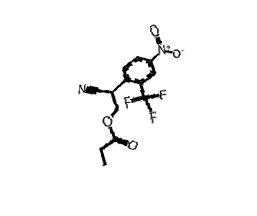 CCC(=O)OCC(C#N)c1ccc([N+](=O)[O-])cc1C(F)(F)F